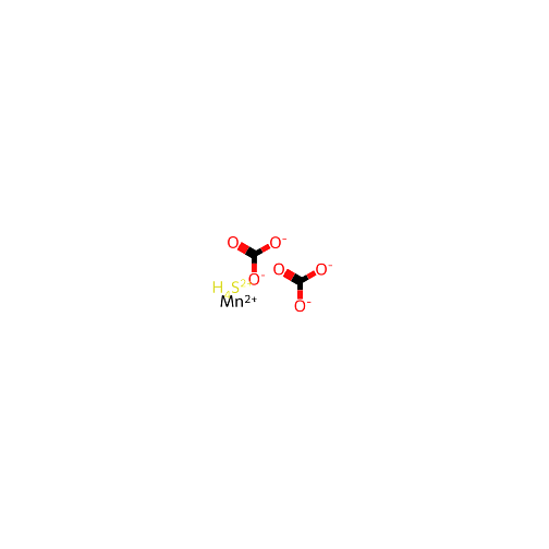 O=C([O-])[O-].O=C([O-])[O-].[Mn+2].[SH4+2]